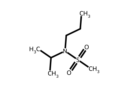 CCCN(C(C)C)S(C)(=O)=O